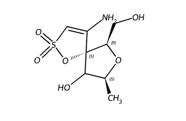 C[C@@H]1O[C@H](CO)[C@@]2(OS(=O)(=O)C=C2N)C1O